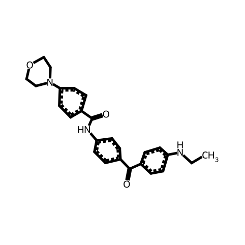 CCNc1ccc(C(=O)c2ccc(NC(=O)c3ccc(N4CCOCC4)cc3)cc2)cc1